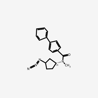 CN(C(=O)c1ccc(-c2ccccc2)cc1)[C@@H]1CCC(N=[N+]=[N-])C1